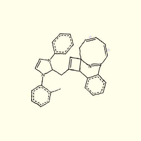 Cc1ccccc1N1C=CN(c2ccccc2)C1CC1=CC23C/C=C\C=C/C(=N2)c2ccccc2C13